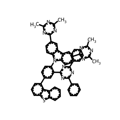 Cc1nc(C)nc(-c2ccc3c(c2)c2cc(-c4nc(C)nc(C)n4)ccc2n3-c2ccc(-c3cccc4sc5ccccc5c34)cc2-c2nc(-c3ccccc3)nc(-c3ccccc3)n2)n1